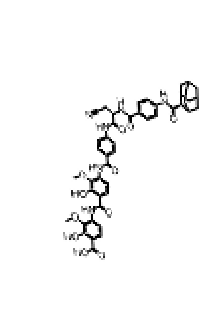 COc1c(NC(=O)c2ccc(NC(=O)c3ccc(NC(=O)C(CC#N)NC(=O)c4ccc(NC(=O)C5C6CC7CC(C6)CC5C7)cc4)cc3)c(OC)c2O)ccc(C(=O)O)c1O